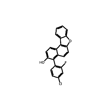 Oc1ccc2c(ccc3oc4ccccc4c32)c1-c1ccc(Cl)cc1F